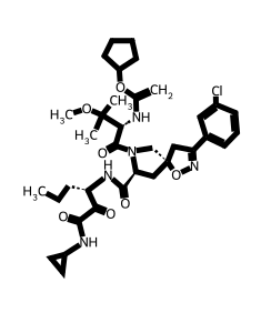 C=C(N[C@H](C(=O)N1C[C@@]2(CC(c3cccc(Cl)c3)=NO2)C[C@H]1C(=O)N[C@@H](CCC)C(=O)C(=O)NC1CC1)C(C)(C)OC)OC1CCCC1